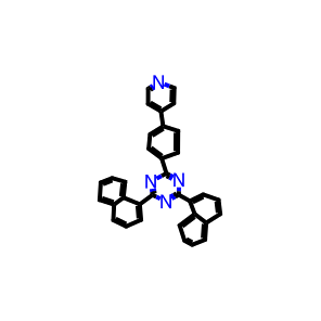 c1ccc2c(-c3nc(-c4ccc(-c5ccncc5)cc4)nc(-c4cccc5ccccc45)n3)cccc2c1